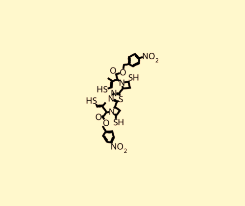 CC(=CS)C(C(=O)OCc1ccc([N+](=O)[O-])cc1)N1C(S)CC1c1nnc(C2CC(S)N2C(C(=O)OCc2ccc([N+](=O)[O-])cc2)C(C)=CS)s1